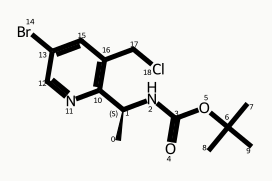 C[C@H](NC(=O)OC(C)(C)C)c1ncc(Br)cc1CCl